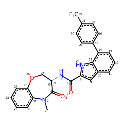 CN1C(=O)[C@@H](NC(=O)c2cc3cccc(-c4ccc(C(F)(F)F)cc4)c3[nH]2)COc2ccccc21